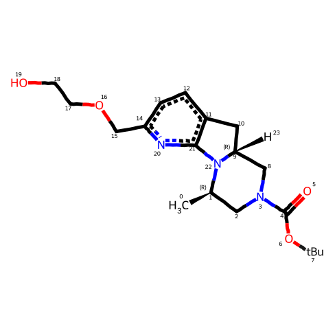 C[C@@H]1CN(C(=O)OC(C)(C)C)C[C@H]2Cc3ccc(COCCO)nc3N21